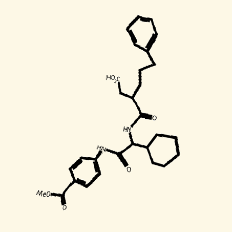 COC(=O)c1ccc(NC(=O)C(NC(=O)C(CCCc2ccccc2)CC(=O)O)C2CCCCC2)cc1